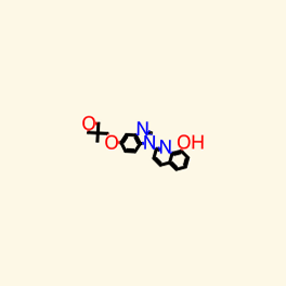 CC1(COc2ccc3c(c2)ncn3-c2ccc3cccc(O)c3n2)COC1